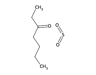 CCCCC(=O)CC.O=S=O